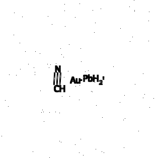 C#N.[Au].[PbH2]